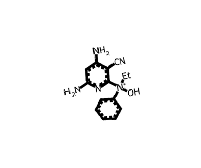 CC[N+](O)(c1ccccc1)c1nc(N)cc(N)c1C#N